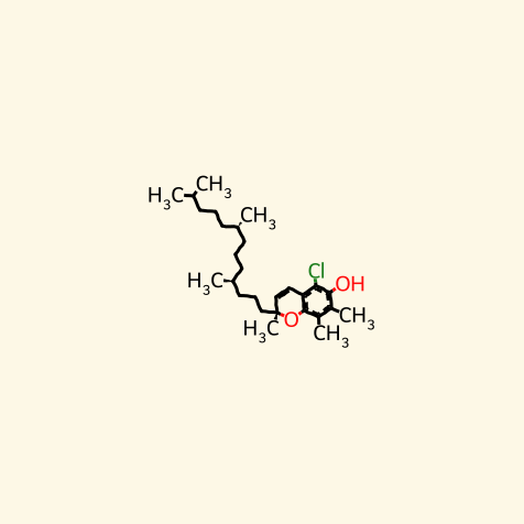 Cc1c(C)c2c(c(Cl)c1O)C=C[C@@](C)(CCC[C@@H](C)CCC[C@@H](C)CCCC(C)C)O2